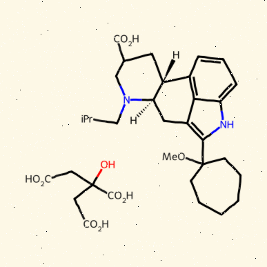 COC1(c2[nH]c3cccc4c3c2C[C@@H]2[C@@H]4CC(C(=O)O)CN2CC(C)C)CCCCCC1.O=C(O)CC(O)(CC(=O)O)C(=O)O